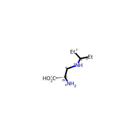 CCC(CC)NC[C@H](N)C(=O)O